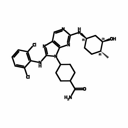 C[C@@H]1CC[C@@H](Nc2ncc3nc(Nc4c(Cl)cccc4Cl)n(C4CCC(C(N)=O)CC4)c3n2)C[C@H]1O